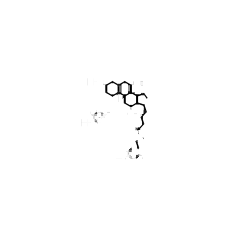 C[C@H](CCC(=O)NCCS(=O)(=O)O)[C@H]1CC[C@H]2[C@@H]3[C@H](O)CC4C[C@H](O)CC[C@]4(C)[C@H]3C[C@H](O)[C@]12C.O=S(=O)(O)O